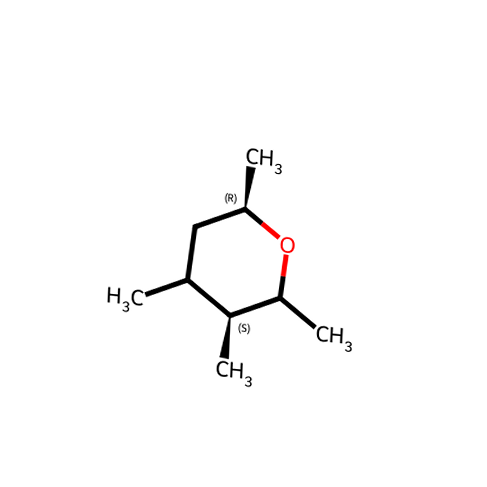 CC1C[C@@H](C)OC(C)[C@H]1C